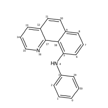 c1ccc(Nc2cccc3ccc4cccnc4c23)cc1